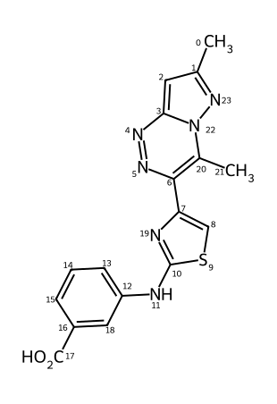 Cc1cc2nnc(-c3csc(Nc4cccc(C(=O)O)c4)n3)c(C)n2n1